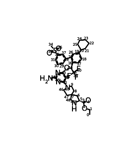 CCOC(=O)[C@@H]1CC2(CCN(c3cc(O[C@H](c4ccc(C5CCCCC5)cc4-c4cccc(S(C)(=O)=O)c4)C(F)(F)F)nc(N)n3)CC2)CN1